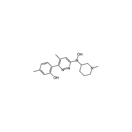 Cc1ccc(-c2nnc(N(O)C3CCCN(C)C3)cc2C)c(O)c1